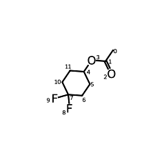 CC(=O)OC1CCC(F)(F)CC1